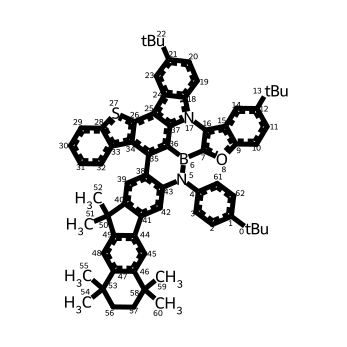 CC(C)(C)c1ccc(N2B3c4oc5ccc(C(C)(C)C)cc5c4-n4c5ccc(C(C)(C)C)cc5c5c6sc7ccccc7c6c(c3c54)-c3cc4c(cc32)-c2cc3c(cc2C4(C)C)C(C)(C)CCC3(C)C)cc1